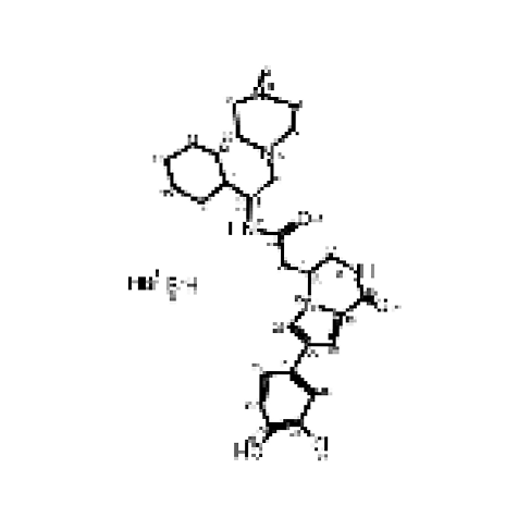 Br.Br.CN1CCN(C[C@@H](NC(=O)C[C@H]2CNC(=O)c3cc(-c4ccc(O)c(Cl)c4)cn32)C2CCCCC2)CC1